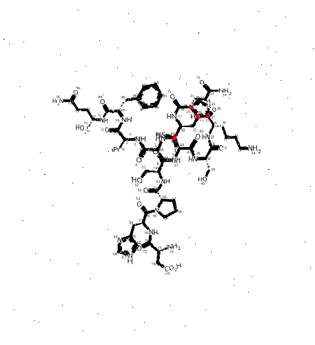 CC(C)[C@H](NC(=O)[C@H](C)NC(=O)[C@H](Cc1c[nH]cn1)NC(=O)[C@H](CCC(N)=O)NC(=O)[C@H](CCCCN)NC(=O)[C@H](CO)NC(=O)[C@H](CS)NC(=O)[C@H](CO)NC(=O)[C@@H]1CCCN1C(=O)[C@H](Cc1c[nH]cn1)NC(=O)[C@@H](N)CC(=O)O)C(=O)N[C@@H](Cc1ccccc1)C(=O)N[C@@H](CCC(N)=O)C(=O)O